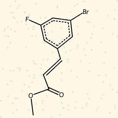 COC(=O)/C=C/c1cc(F)cc(Br)c1